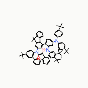 CC(C)(C)c1ccc(N(c2ccc(C(C)(C)C)cc2)c2ccc3c(c2)N(c2ccc4c(c2)C(C)(C)CCC4(C)C)B2c4c(cc5c(c4-3)-c3ccccc3C5(C)C)N(c3ccc(C(C)(C)C)cc3-c3ccccc3)c3oc4ccccc4c32)cc1